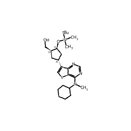 CN(c1ncnc2c([C@@H]3C[C@@H](CO)[C@@H](O[Si](C)(C)C(C)(C)C)C3)csc12)C1CCCCC1